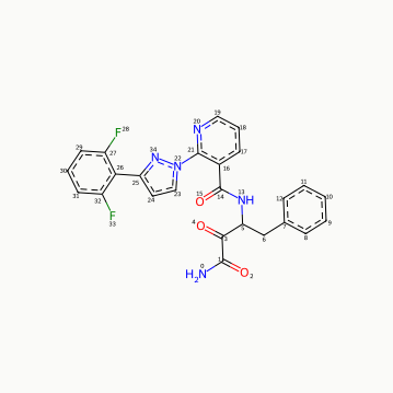 NC(=O)C(=O)C(Cc1ccccc1)NC(=O)c1cccnc1-n1ccc(-c2c(F)cccc2F)n1